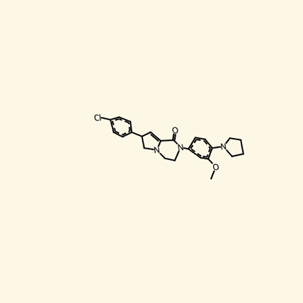 COc1cc(N2CCN3CC(c4ccc(Cl)cc4)C=C3C2=O)ccc1N1CCCC1